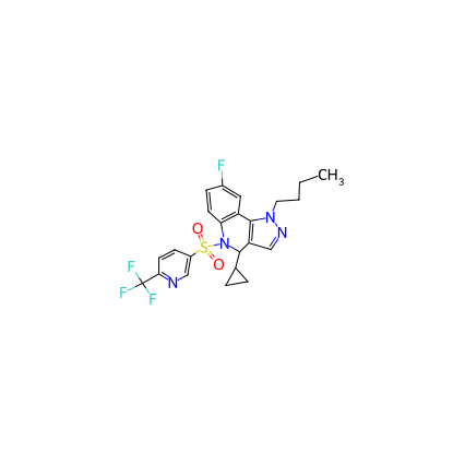 CCCCn1ncc2c1-c1cc(F)ccc1N(S(=O)(=O)c1ccc(C(F)(F)F)nc1)C2C1CC1